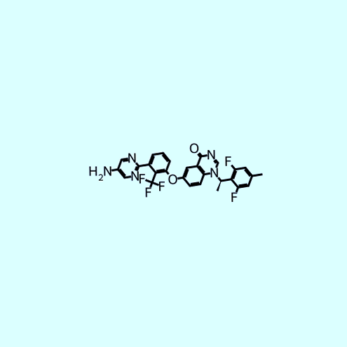 Cc1cc(F)c([C@@H](C)n2cnc(=O)c3cc(Oc4cccc(-c5ncc(N)cn5)c4C(F)(F)F)ccc32)c(F)c1